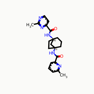 Cc1cccc(C(=O)N[C@@]23CCC[C@@](NC(=O)c4ccnc(C)n4)(CC2)C3)n1